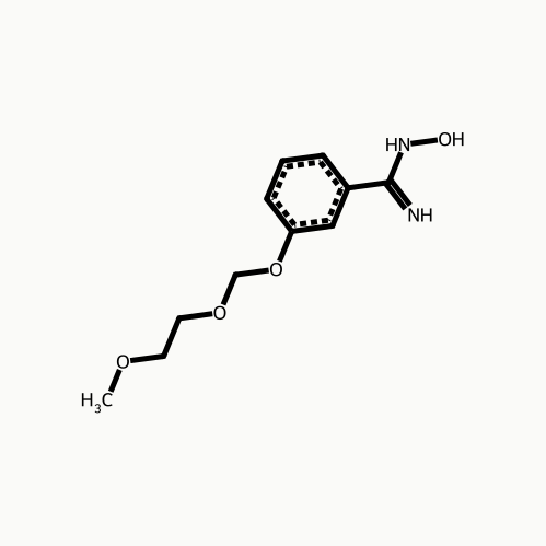 COCCOCOc1cccc(C(=N)NO)c1